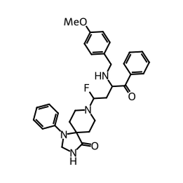 COc1ccc(CNC(CC(F)N2CCC3(CC2)C(=O)NCN3c2ccccc2)C(=O)c2ccccc2)cc1